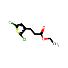 CCOC(=O)CCc1cc(Cl)sc1Cl